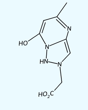 CC1=NC2=CN(CC(=O)O)NN2C(O)=C1